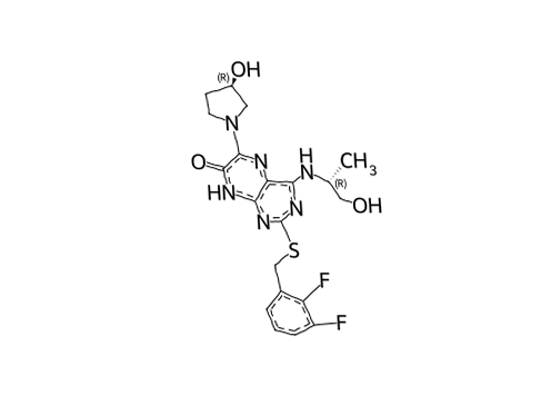 C[C@H](CO)Nc1nc(SCc2cccc(F)c2F)nc2[nH]c(=O)c(N3CC[C@@H](O)C3)nc12